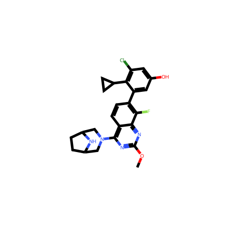 COc1nc(N2CC3CCC(C2)N3)c2ccc(-c3cc(O)cc(Cl)c3C3CC3)c(F)c2n1